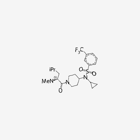 CN[C@@H](CC(C)C)C(=O)N1CCC(N(C2CC2)S(=O)(=O)c2cccc(C(F)(F)F)c2)CC1